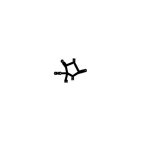 CCC1(C=O)NC(=O)NC1=O